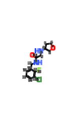 O=C(CNC1CCOC1)NCc1cccc(Cl)c1F